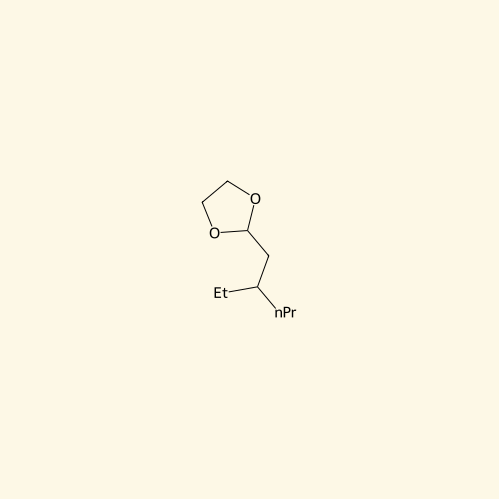 CCCC(CC)CC1OCCO1